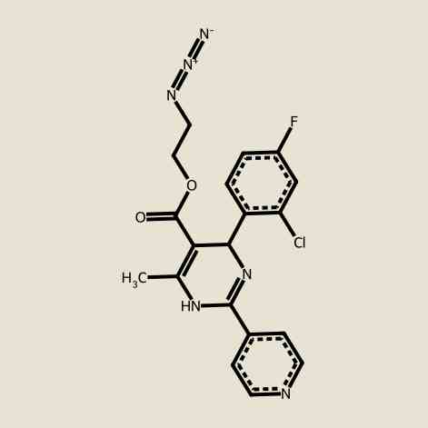 CC1=C(C(=O)OCCN=[N+]=[N-])C(c2ccc(F)cc2Cl)N=C(c2ccncc2)N1